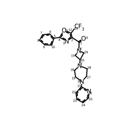 O=C(c1nc(-c2ccccc2)oc1C(F)(F)F)N1CC(N2CCN(c3ccccn3)CC2)C1